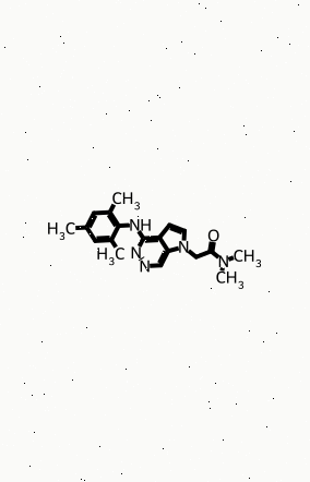 Cc1cc(C)c(Nc2nncc3c2ccn3CC(=O)N(C)C)c(C)c1